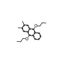 CCCOc1c2ccccc2c(OCCC)c2cc(C)c(C)cc12